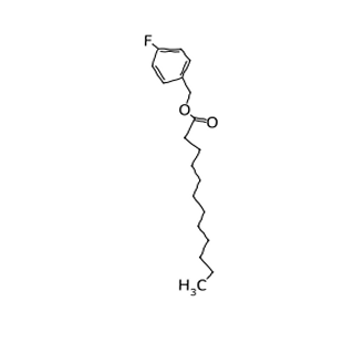 CCCCCCCCCCCC(=O)OCc1ccc(F)cc1